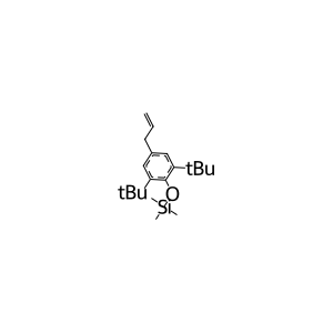 C=CCc1cc(C(C)(C)C)c(O[Si](C)(C)C)c(C(C)(C)C)c1